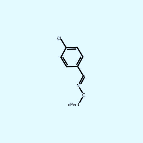 CCCCCO/N=[C]/c1ccc(Cl)cc1